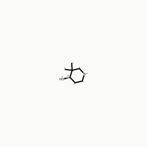 CC1(C)C[N]CC[C@H]1O